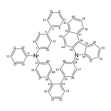 c1ccc(-c2ccc(N(c3ccccc3)c3ccc(-c4ccccc4-c4ccc(-n5c6ccccc6c6c7ccccc7ccc65)cc4)cc3)cc2)cc1